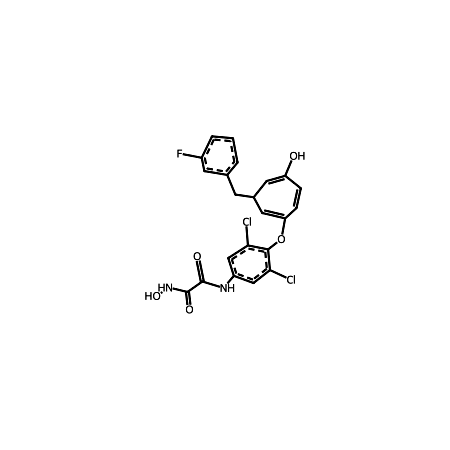 O=C(NO)C(=O)Nc1cc(Cl)c(OC2=CC(Cc3cccc(F)c3)C=C(O)C=C2)c(Cl)c1